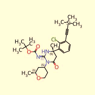 C[C@H]1C[C@@H](N2C(=O)C[C@@](C)(c3cccc(C#C[Si](C)(C)C)c3Cl)N/C2=N\C(=O)OC(C)(C)C)CCO1